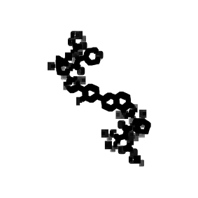 COC(=O)N[C@H](C(=O)N1[C@@H]2CC[C@@H](C2)[C@H]1c1nc2ccc3cc(-c4ccc(-c5cnc([C@@H]6C[C@H]7C[C@H]7N6C(=O)[C@@H](NC(=O)OC)C6CCOCC6)[nH]5)c(F)c4)ccc3c2[nH]1)C(C)C